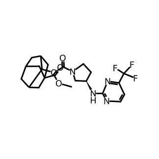 COC(=O)C12CC3CC(C1)C(OC(=O)N1CC[C@@H](Nc4nccc(C(F)(F)F)n4)C1)C(C3)C2